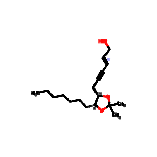 CCCCCCC[C@H]1OC(C)(C)O[C@@H]1CC#C/C=C/CO